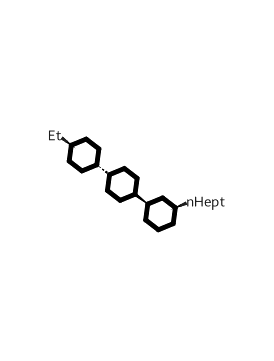 CCCCCCC[C@H]1CCC[C@@H](C2CCC([C@H]3CC[C@H](CC)CC3)CC2)C1